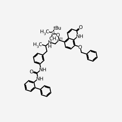 CC(Cc1cccc(NC(=O)Nc2ccccc2-c2ccccc2)c1)NC[C@@H](O[Si](C)(C)C(C)(C)C)c1ccc(OCc2ccccc2)c2[nH]c(=O)ccc12